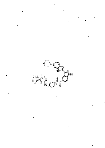 CC(C)(C)OC(=O)N[C@H]1CC[C@H](NC(=O)c2ccc3[nH]nc(-c4nc5ccc(N6CCOCC6)cc5[nH]4)c3c2)C1